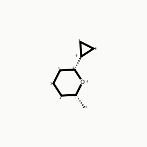 C[C@@H]1CCC[C@H](C2CC2)O1